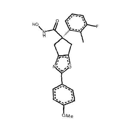 COc1ccc(-c2nc3c(s2)C[C@@](C(=O)NO)(c2cccc(F)c2C)C3)cc1